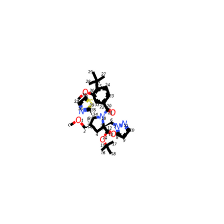 COC[C@H]1C[C@@](Cn2cccn2)(C(=O)OC(C)(C)C)N(C(=O)c2ccc(C(C)(C)C)c(OC)c2)[C@H]1c1nccs1